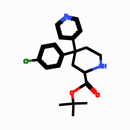 CC(C)(C)OC(=O)C1CC(c2ccncc2)(c2ccc(Cl)cc2)CCN1